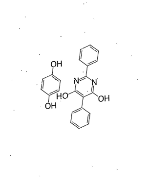 Oc1ccc(O)cc1.Oc1nc(-c2ccccc2)nc(O)c1-c1ccccc1